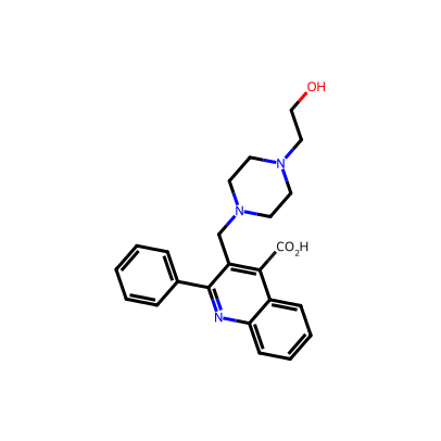 O=C(O)c1c(CN2CCN(CCO)CC2)c(-c2ccccc2)nc2ccccc12